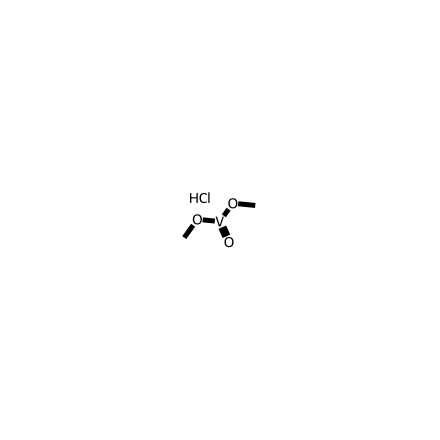 C[O][V](=[O])[O]C.Cl